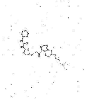 CN(C)CCCOc1ccc2c(NCCC3CN=C(NC(=O)Nc4ccccc4)S3)ncnc2c1